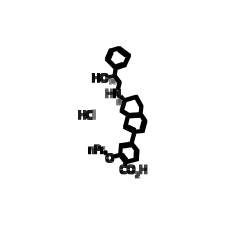 CCCOc1cc(-c2ccc3c(c2)C[C@@H](NC[C@@H](O)c2ccccc2)CC3)ccc1C(=O)O.Cl